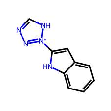 c1ccc2[nH]c(-[n+]3nnc[nH]3)cc2c1